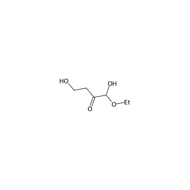 CCOC(O)C(=O)CCO